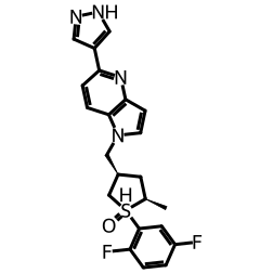 C[C@@H]1C[C@H](Cn2ccc3nc(-c4cn[nH]c4)ccc32)C[SH]1(=O)c1cc(F)ccc1F